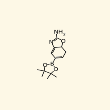 CC1(C)OB(C2=CCC3OC(N)=NC3=C2)OC1(C)C